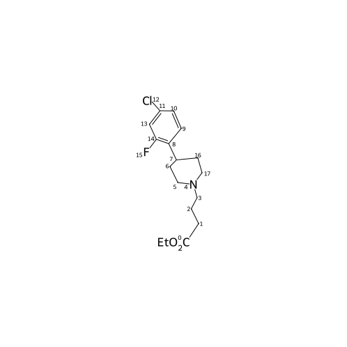 CCOC(=O)CCCN1CCC(c2ccc(Cl)cc2F)CC1